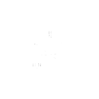 C[C@H]1CNC[C@H]1N